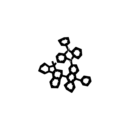 CC1(C)c2cc(-c3c4ccccc4c(-c4ccccc4)c4ccc(N5c6ccccc6N(c6ccccc6)c6ccccc65)cc34)c3ccccc3c2C2C=CC=CC21